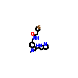 Cn1cc(-c2cc3cccnc3[nH]2)c2cc(CNC(=O)Cc3ccsc3)ccc21